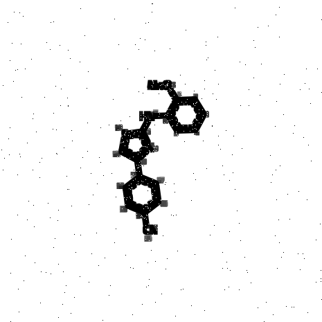 COc1ccccc1Nc1nc(-c2ccc(C#N)cc2)cs1